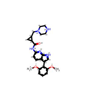 COc1cccc(OC)c1-c1c[nH]c2nc(NC(=O)C3CC3CN3CCNCC3)ccc12